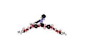 C=CC(=O)OCCOCCOC(=O)C1CCC(COc2ccc(OC(=O)C3CCC(C(=O)OCCOCCOC(=O)C=C)CC3)cc2/C=N/N(CCCCCC)c2nc3ccccc3s2)CC1